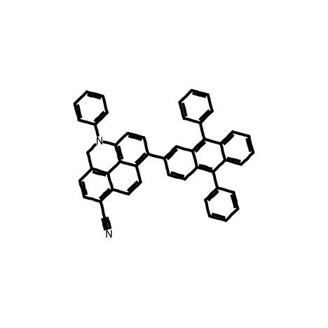 N#Cc1ccc2c3c1ccc1c(-c4ccc5c(-c6ccccc6)c6ccccc6c(-c6ccccc6)c5c4)ccc(c13)N(c1ccccc1)C2